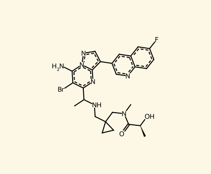 CC(NCC1(CN(C)C(=O)[C@H](C)O)CC1)c1nc2c(-c3cnc4ccc(F)cc4c3)cnn2c(N)c1Br